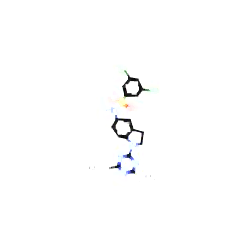 COc1nc(OC)nc(N2CCc3cc(NS(=O)(=O)c4cc(Cl)cc(Cl)c4)ccc32)n1